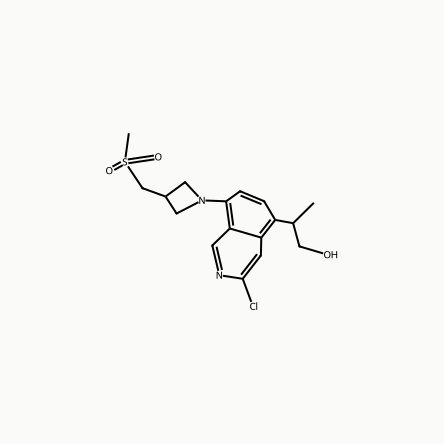 CC(CO)c1ccc(N2CC(CS(C)(=O)=O)C2)c2cnc(Cl)cc12